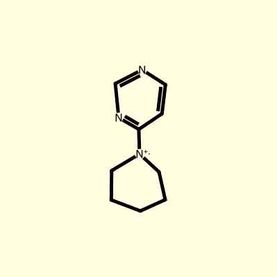 c1cc([N+]2CCCCC2)ncn1